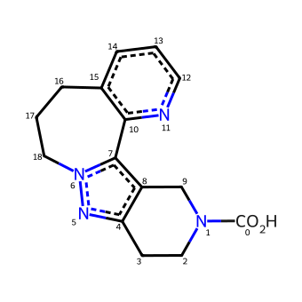 O=C(O)N1CCc2nn3c(c2C1)-c1ncccc1CCC3